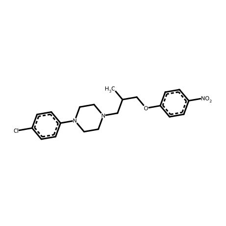 CC(COc1ccc([N+](=O)[O-])cc1)CN1CCN(c2ccc(Cl)cc2)CC1